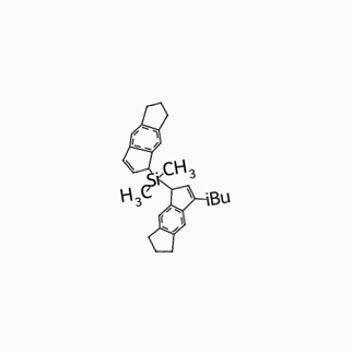 CCC(C)C1=CC([Si](C)(C)C2C=Cc3cc4c(cc32)CCC4)c2cc3c(cc21)CCC3